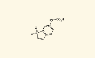 O=C(O)Nc1ccc2c(c1)S(=O)(=O)C=C2